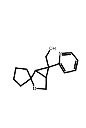 OCC1(c2ccccn2)C2COC3(CCCC3)C21